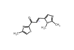 Cc1csc(C(=O)/C=C/c2cnc(C)n2C)n1